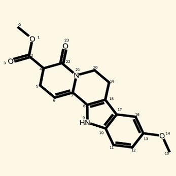 COC(=O)C1CC=C2c3[nH]c4ccc(OC)cc4c3CCN2C1=O